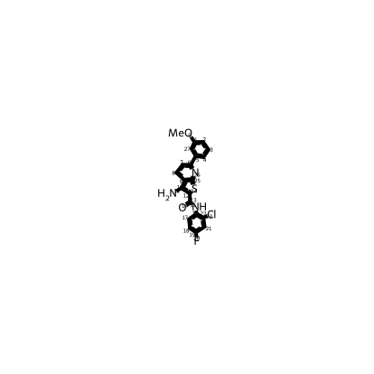 COc1cccc(-c2ccc3c(N)c(C(=O)Nc4ccc(F)cc4Cl)sc3n2)c1